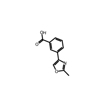 Cc1nc(-c2cccc(C(=O)O)c2)co1